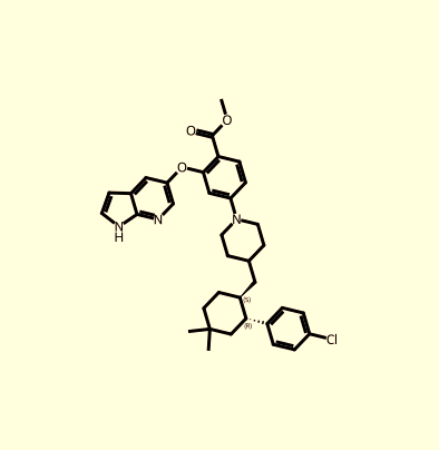 COC(=O)c1ccc(N2CCC(C[C@@H]3CCC(C)(C)C[C@H]3c3ccc(Cl)cc3)CC2)cc1Oc1cnc2[nH]ccc2c1